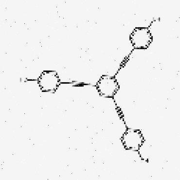 Oc1ccc(C#Cc2cc(C#Cc3ccc(O)cc3)cc(C#Cc3ccc(O)cc3)c2)cc1